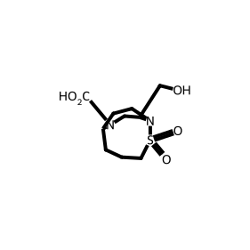 O=C(O)N1CC(CO)N2CCC1CCCS2(=O)=O